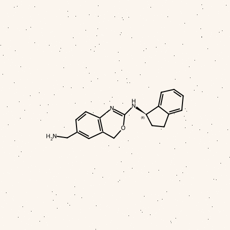 NCc1ccc2c(c1)COC(N[C@@H]1CCc3ccccc31)=N2